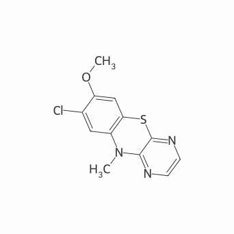 COc1cc2c(cc1Cl)N(C)c1nccnc1S2